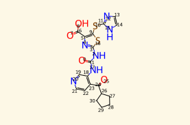 O=C(Nc1nc(C(=O)O)c(Sc2ncc[nH]2)s1)Nc1cnccc1C(=O)C1CCCC1